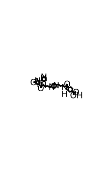 CN1C(=O)C[C@H](C(=O)NCCCN2CCN(CCCNC(=O)C3CCC(C(=O)O)CC3)CC2)[C@H]1c1cccnc1